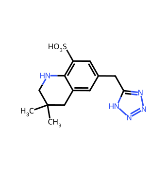 CC1(C)CNc2c(cc(Cc3nnn[nH]3)cc2S(=O)(=O)O)C1